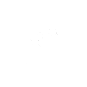 COc1ncc(-c2ccc3ncc(OCCN(C)C)c(=O)n3c2)cc1N